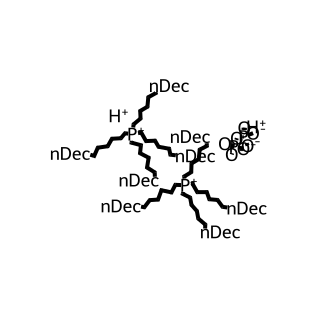 CCCCCCCCCCCCCCCC[P+](CCCCCCCCCCCCCCCC)(CCCCCCCCCCCCCCCC)CCCCCCCCCCCCCCCC.CCCCCCCCCCCCCCCC[P+](CCCCCCCCCCCCCCCC)(CCCCCCCCCCCCCCCC)CCCCCCCCCCCCCCCC.O=P([O-])([O-])OP(=O)([O-])[O-].[H+].[H+]